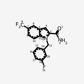 NC(=O)c1cc2cc(C(F)(F)F)ccc2n1Cc1cccc(F)c1